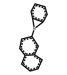 c1ccc2c(c1)N2c1ccc2ccccc2c1